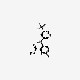 Cc1ccc(Nc2cncc(C(F)(F)F)c2)c(C(=O)O)n1